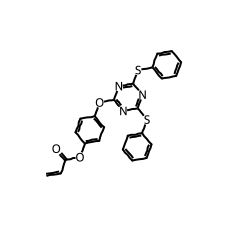 C=CC(=O)Oc1ccc(Oc2nc(Sc3ccccc3)nc(Sc3ccccc3)n2)cc1